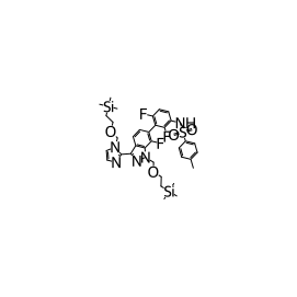 Cc1ccc(S(=O)(=O)Nc2ccc(F)c(-c3ccc4c(-c5nccn5COCC[Si](C)(C)C)nn(COCC[Si](C)(C)C)c4c3F)c2F)cc1